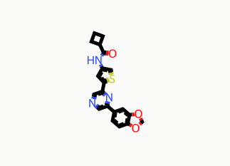 O=C(Nc1csc(-c2cncc(-c3ccc4c(c3)OCO4)n2)c1)C1CCC1